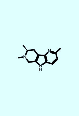 Cc1ccc2[nH]c3c(c2n1)C[C@H](C)N(C)C3